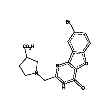 O=C(O)C1CCN(Cc2nc3c(oc4ccc(Br)cc43)c(=O)[nH]2)C1